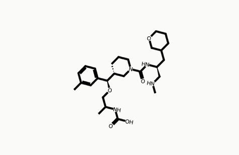 CNC[C@H](CC1CCCOC1)NC(=O)N1CCC[C@@H]([C@@H](OCC(C)NC(=O)O)c2cccc(C)c2)C1